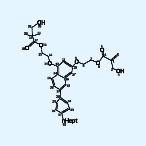 C=C(CO)C(=O)OCCOc1cc(OCCOC(=O)C(C)(C)CO)c2ccc(-c3ccc(CCCCCCC)cc3)cc2c1